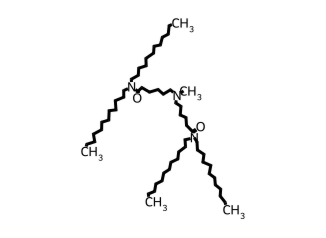 CCCCCCCCCCCCN(CCCCCCCCCCCC)C(=O)CCCCCN(C)CCCCCC(=O)N(CCCCCCCCCCCC)CCCCCCCCCCCC